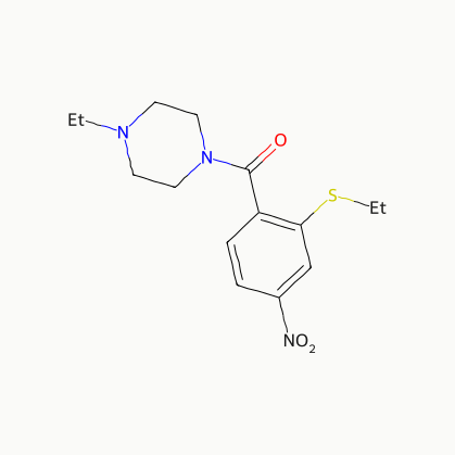 CCSc1cc([N+](=O)[O-])ccc1C(=O)N1CCN(CC)CC1